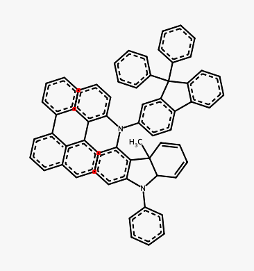 CC12C=CC=CC1N(c1ccccc1)c1cccc(N(c3ccc4c(c3)C(c3ccccc3)(c3ccccc3)c3ccccc3-4)c3ccccc3-c3cccc4cccc(-c5ccccc5)c34)c12